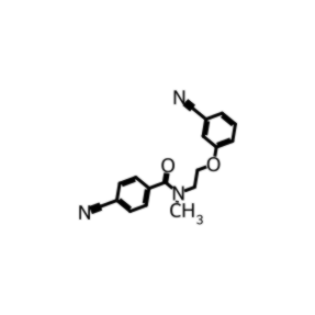 CN(CCOc1cccc(C#N)c1)C(=O)c1ccc(C#N)cc1